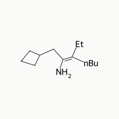 CCCC/C(CC)=C(\N)CC1CCC1